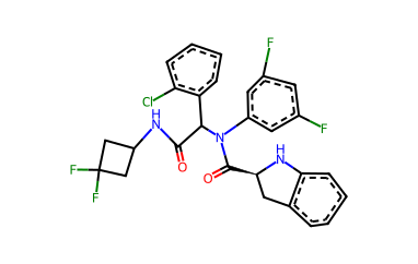 O=C(NC1CC(F)(F)C1)C(c1ccccc1Cl)N(C(=O)[C@@H]1Cc2ccccc2N1)c1cc(F)cc(F)c1